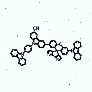 N#Cc1ccc2c(c1)c1cc(-c3ccc4c(c3)C3(c5ccc(-n6c7ccccc7c7ccccc76)cc5O4)c4cccnc4-c4ncccc43)ccc1n2-c1ccc(-n2c3ccccc3c3ccccc32)cc1